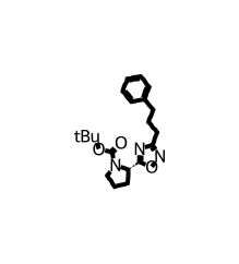 CC(C)(C)OC(=O)N1CCC[C@H]1c1nc(CCCc2ccccc2)no1